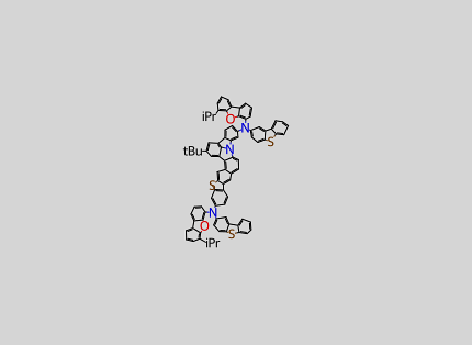 CC(C)c1cccc2c1oc1c(N(c3ccc4c(c3)sc3cc5c(ccc6c5c5cc(C(C)(C)C)cc7c8ccc(N(c9ccc%10sc%11ccccc%11c%10c9)c9cccc%10c9oc9c(C(C)C)cccc9%10)cc8n6c75)cc34)c3ccc4sc5ccccc5c4c3)cccc12